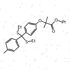 CCSC(SCC)(c1ccc(C)cc1)c1ccc(OC(C)(C)C(=O)OC(C)C)cc1